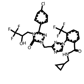 O=C(NCC1CC1)c1cccc(C(F)(F)F)c1-n1cnc(Cn2nc(-c3ccc(Cl)cc3)n(CC(O)C(F)(F)F)c2=O)n1